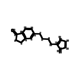 O=C1CCc2cc(CCCCc3ncc[nH]3)ccc21